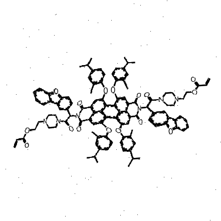 C=CC(=O)OCCN1CCN(C(=O)C(c2ccc3oc4ccccc4c3c2)N2C(=O)c3cc(Oc4ccc(C(C)C)cc4C)c4c5c(Oc6ccc(C(C)C)cc6C)cc6c7c(cc(Oc8ccc(C(C)C)cc8C)c(c8c(Oc9ccc(C(C)C)cc9C)cc(c3c48)C2=O)c75)C(=O)N(C(C(=O)N2CCN(CCOC(=O)C=C)CC2)c2ccc3oc4ccccc4c3c2)C6=O)CC1